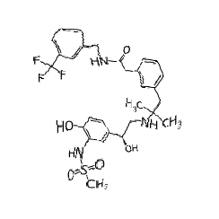 CC(C)(Cc1cccc(CC(=O)NCc2cccc(C(F)(F)F)c2)c1)NC[C@@H](O)c1ccc(O)c(NS(C)(=O)=O)c1